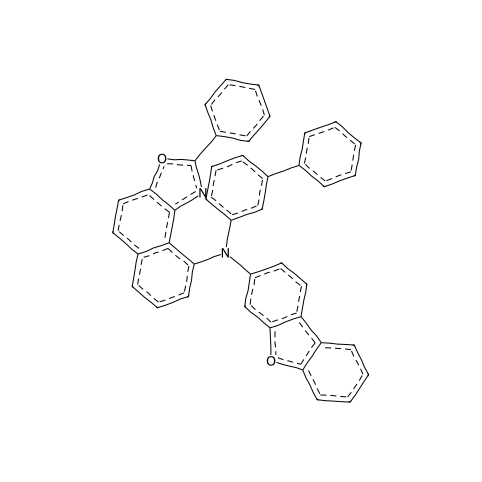 c1ccc(-c2cccc(N(c3ccc4c(c3)oc3ccccc34)c3cccc4ccc5oc(-c6ccccc6)nc5c34)c2)cc1